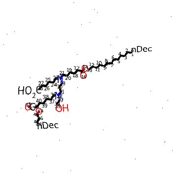 CCCCCCCCCCCCCCCCCCCCCCCOC(=O)CCCCCN(CCCCCC(=O)O)CCCN(CCO)CCCCCC(=C=O)OCCCCCCCCCCCCC